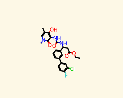 CCOC(=O)CC(NC(=O)Nc1c(O)c(C)cn(C)c1=O)c1cccc(-c2ccc(F)c(Cl)c2)c1